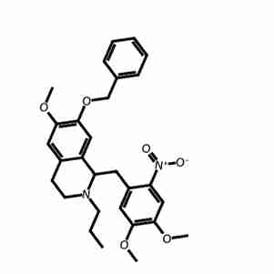 CCCN1CCc2cc(OC)c(OCc3ccccc3)cc2C1Cc1cc(OC)c(OC)cc1[N+](=O)[O-]